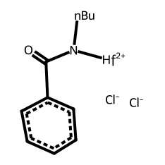 CCCC[N]([Hf+2])C(=O)c1ccccc1.[Cl-].[Cl-]